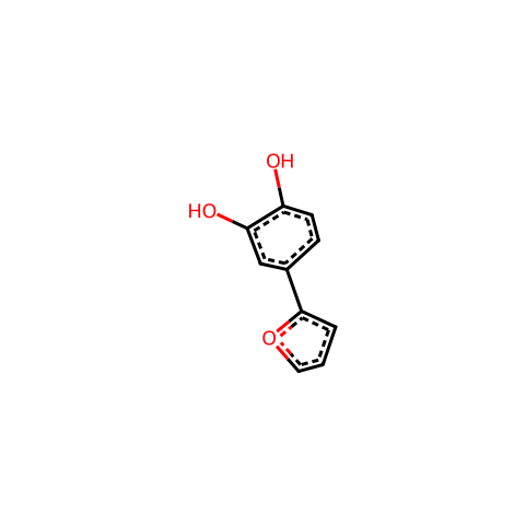 Oc1ccc(-c2ccco2)cc1O